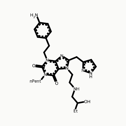 CCCCCn1c(=O)c2c(nc(Cc3cc[nH]n3)n2CCNCC(O)CC)n(CCc2ccc(N)cc2)c1=O